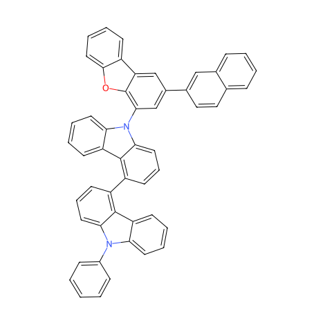 c1ccc(-n2c3ccccc3c3c(-c4cccc5c4c4ccccc4n5-c4cc(-c5ccc6ccccc6c5)cc5c4oc4ccccc45)cccc32)cc1